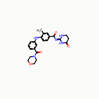 Cc1cc(C(=O)/N=C2\NCCC(=O)N2)ccc1Nc1cccc(C(=O)N2CCOCC2)c1